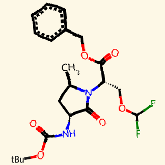 CC1C[C@H](NC(=O)OC(C)(C)C)C(=O)N1[C@@H](COC(F)F)C(=O)OCc1ccccc1